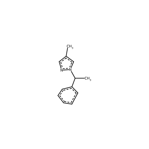 Cc1cnn(C(C)c2ccccc2)c1